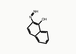 N=Nc1ccc2ccccc2c1O